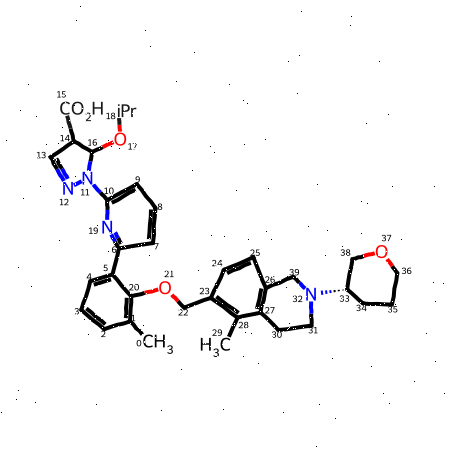 Cc1cccc(-c2cccc(N3N=CC(C(=O)O)C3OC(C)C)n2)c1OCc1ccc2c(c1C)CCN([C@H]1CCCOC1)C2